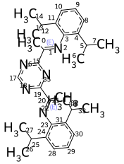 C/C(=N\c1c(C(C)C)cccc1C(C)C)c1ncnc(/C(C)=N/c2c(C(C)C)cccc2C(C)C)n1